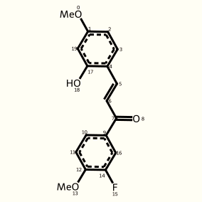 COc1ccc(C=CC(=O)c2ccc(OC)c(F)c2)c(O)c1